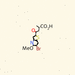 COc1nc2cc(C(=O)C[C@H](C)C(=O)O)sc2cc1Br